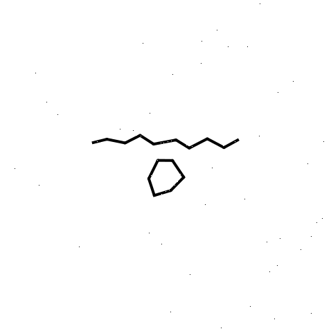 C1CCCCC1.CCCCCCCCCC